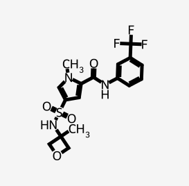 Cn1cc(S(=O)(=O)NC2(C)COC2)cc1C(=O)Nc1cccc(C(F)(F)F)c1